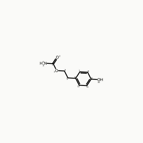 NC(=O)OC[CH]c1ccc(O)cc1